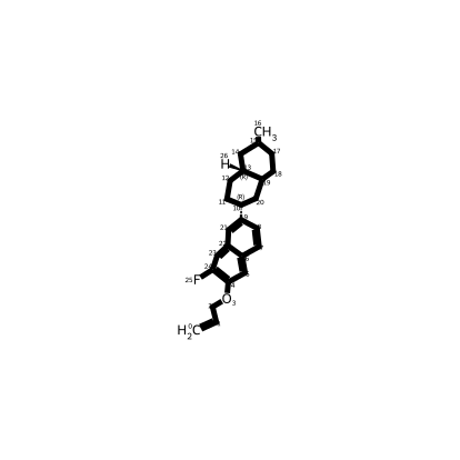 C=CCOc1cc2ccc([C@@H]3CC[C@@H]4CC(C)CCC4C3)cc2cc1F